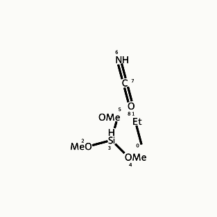 CCC.CO[SiH](OC)OC.N=C=O